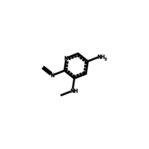 C=Nc1ncc(N)cc1NC